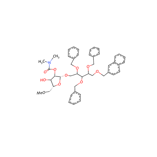 COC[C@H]1O[C@@H](OCC(OCc2ccccc2)C(OCc2ccccc2)C(COCc2ccc3ccccc3c2)OCc2ccccc2)C(OC(=O)N(C)C)C1O